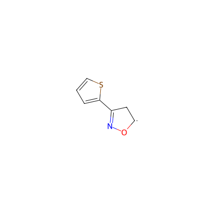 [CH]1CC(c2cccs2)=NO1